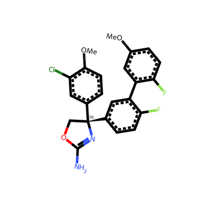 COc1ccc(F)c(-c2cc([C@]3(c4ccc(OC)c(Cl)c4)COC(N)=N3)ccc2F)c1